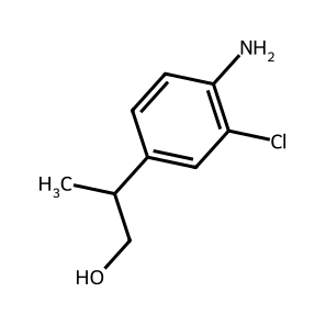 CC(CO)c1ccc(N)c(Cl)c1